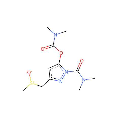 CN(C)C(=O)Oc1cc(C[S+](C)[O-])nn1C(=O)N(C)C